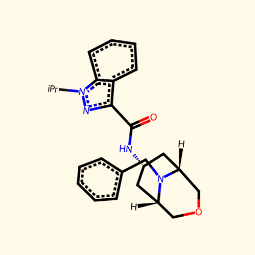 CC(C)n1nc(C(=O)N[C@H]2C[C@H]3COC[C@@H](C2)N3Cc2ccccc2)c2ccccc21